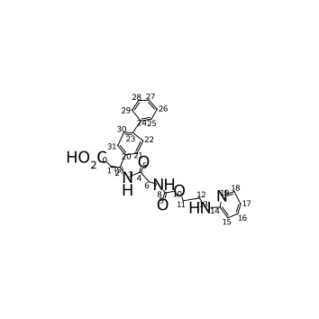 O=C(O)C[C@H](NC(=O)CNC(=O)OCCNc1ccccn1)c1ccc(-c2ccccc2)cc1